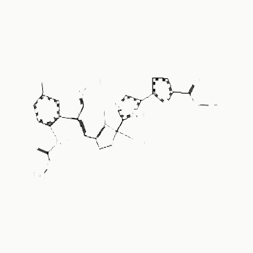 CC1=C(/C=C(\C=N\O)c2cc(Cl)ccc2NC(=O)OC(C)(C)C)CCC1(O)c1ncc(-c2ccc(C(=O)OC(C)(C)C)s2)[nH]1